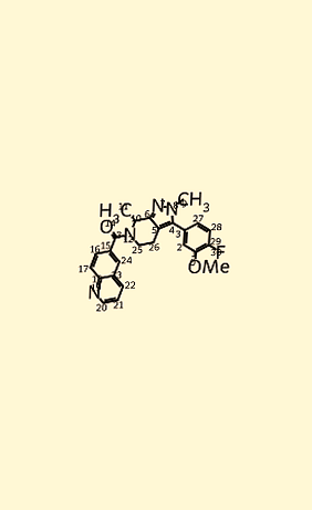 COc1cc(-c2c3c(nn2C)[C@H](C)N(C(=O)c2ccc4ncccc4c2)CC3)ccc1F